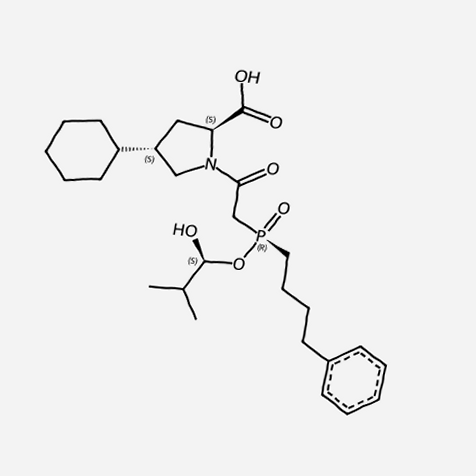 CC(C)[C@@H](O)O[P@](=O)(CCCCc1ccccc1)CC(=O)N1C[C@H](C2CCCCC2)C[C@H]1C(=O)O